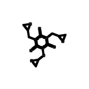 O=c1n(CC2CO2)c(=O)n(OC2CO2)c(=O)n1CC1CO1